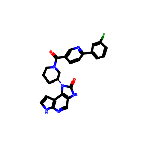 O=C(c1ccc(-c2cccc(F)c2)nc1)N1CCC[C@@H](n2c(=O)[nH]c3cnc4[nH]ccc4c32)C1